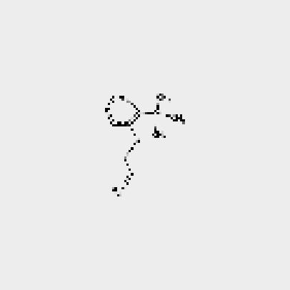 C=CCOc1[c]cccc1[Si](C)(C)C